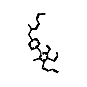 C=C/C=C\c1c(/C=C\C)c(C=C)n(-c2ccc(CC(C)/C=C\C=C/C)cc2)c1C